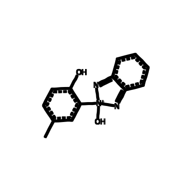 Cc1ccc(O)c([N+]2(O)N=c3ccccc3=N2)c1